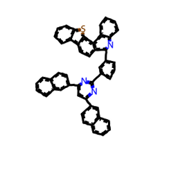 c1cc(-c2nc(-c3ccc4ccccc4c3)cc(-c3ccc4ccccc4c3)n2)cc(-c2nc3ccccc3c3c2ccc2c4ccccc4sc23)c1